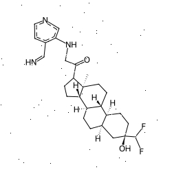 C[C@]12CC[C@H]3[C@@H](CC[C@@H]4C[C@@](O)(C(F)F)CC[C@@H]43)[C@@H]1CCC2C(=O)CNc1cnccc1C=N